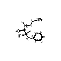 CC(C)CCN(C)C(=O)C(C)(Oc1ccccc1)C(C)C